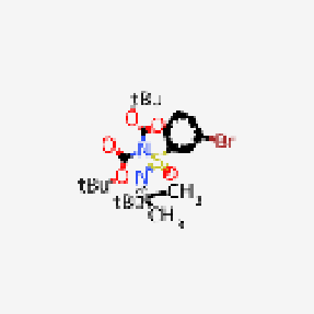 CC(C)(C)OC(=O)N(C(=O)OC(C)(C)C)S(=O)(=N[Si](C)(C)C(C)(C)C)c1cccc(Br)c1